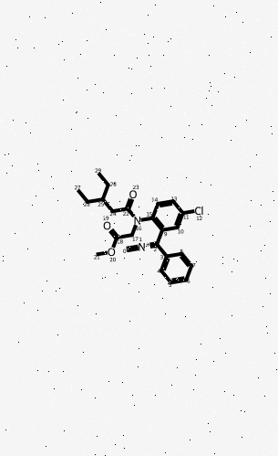 C=[N+]=C(c1ccccc1)c1cc(Cl)ccc1N(CC(=O)OC)C(=O)CC(CC)CC